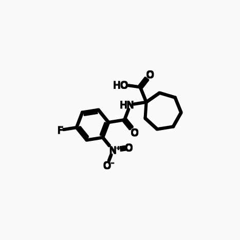 O=C(NC1(C(=O)O)CCCCCC1)c1ccc(F)cc1[N+](=O)[O-]